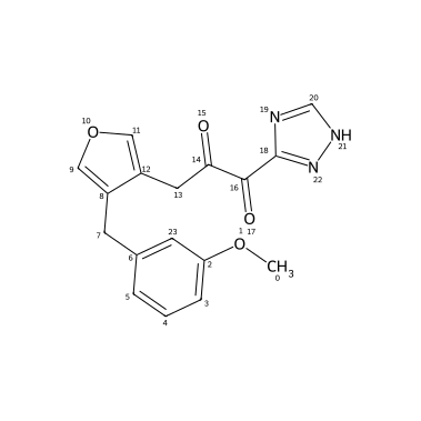 COc1cccc(Cc2cocc2CC(=O)C(=O)c2nc[nH]n2)c1